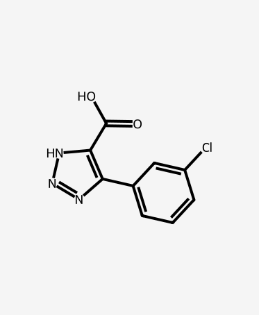 O=C(O)c1[nH]nnc1-c1cccc(Cl)c1